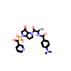 CCCC(NC(=O)c1ccc(N(C)C)cc1)C(=O)N1CCC2C1C(=O)CN2S(=O)(=O)C(=O)c1cccnc1